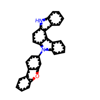 c1ccc2c(c1)[nH]c1ccc3c(c4ccccc4n3-c3ccc4c(c3)oc3ccccc34)c12